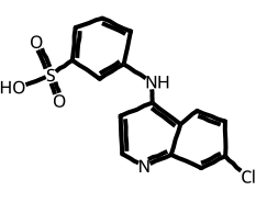 O=S(=O)(O)c1cccc(Nc2ccnc3cc(Cl)ccc23)c1